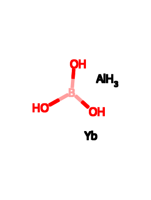 OB(O)O.[AlH3].[Yb]